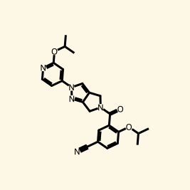 CC(C)Oc1cc(-n2cc3c(n2)CN(C(=O)c2cc(C#N)ccc2OC(C)C)C3)ccn1